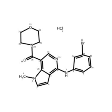 Cl.Cn1ccc2c(Nc3cccc(Br)c3)ncc(C(=O)N3CCOCC3)c21